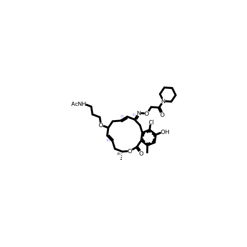 CC(=O)NCCCOC1/C=C/C[C@@H](C)OC(=O)c2c(C)cc(O)c(Cl)c2CC(=N\OCC(=O)N2CCCCC2)/C=C/C1